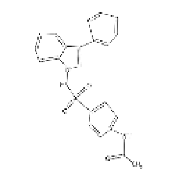 CC(=O)Nc1ccc(S(=O)(=O)Nn2cc(-c3ccccc3)c3ccccc32)cc1